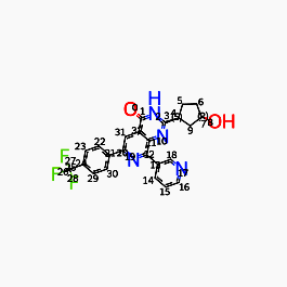 O=c1[nH]c([C@H]2CC[C@@H](O)C2)nc2c(-c3cccnc3)nc(-c3ccc(C(F)(F)F)cc3)cc12